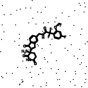 BC1(N2Cc3cc(CNC(=O)C(F)(F)c4ccc(F)cc4OC(C)C)ccc3C2=O)CCC(=O)NC1=O